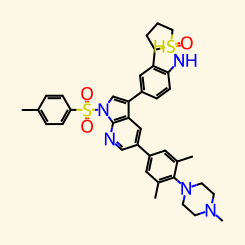 Cc1ccc(S(=O)(=O)n2cc(-c3ccc4c(c3)C3CCC[SH]3(=O)N4)c3cc(-c4cc(C)c(N5CCN(C)CC5)c(C)c4)cnc32)cc1